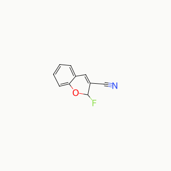 N#CC1=Cc2ccccc2OC1F